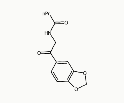 CCCC(=O)NCC(=O)c1ccc2c(c1)OCO2